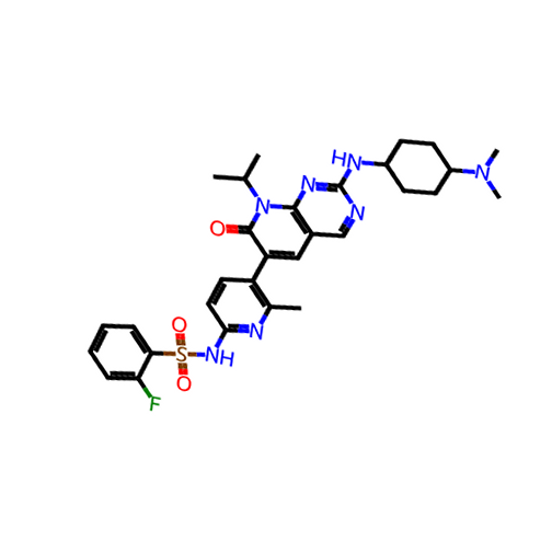 Cc1nc(NS(=O)(=O)c2ccccc2F)ccc1-c1cc2cnc(NC3CCC(N(C)C)CC3)nc2n(C(C)C)c1=O